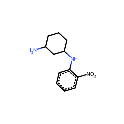 NC1CCCC(Nc2ccccc2[N+](=O)[O-])C1